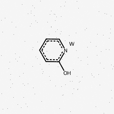 Oc1ccccn1.[W]